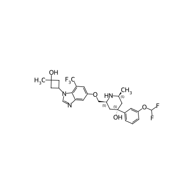 C[C@H]1C[C@@](O)(c2cccc(OC(F)F)c2)C[C@@H](COc2cc(C(F)(F)F)c3c(c2)ncn3C2CC(C)(O)C2)N1